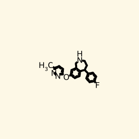 Cc1ccc(Oc2ccc3c(c2)CNCCC3c2ccc(F)cc2)nn1